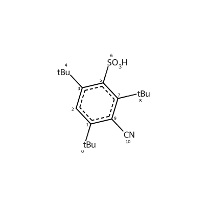 CC(C)(C)c1cc(C(C)(C)C)c(S(=O)(=O)O)c(C(C)(C)C)c1C#N